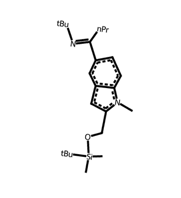 CCCC(=NC(C)(C)C)c1ccc2c(c1)cc(CO[Si](C)(C)C(C)(C)C)n2C